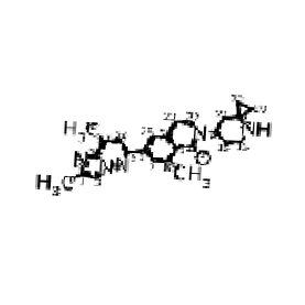 Cc1cn2nc(-c3cc(C)c4c(=O)n([C@H]5CCNC6(CC6)C5)ccc4c3)cc(C)c2n1